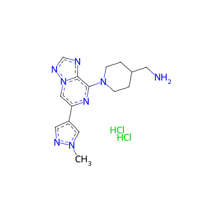 Cl.Cl.Cn1cc(-c2cn3ncnc3c(N3CCC(CN)CC3)n2)cn1